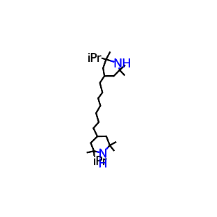 CC(C)C1(C)CC(CCCCCCCC2CC(C)(C)NC(C)(C(C)C)C2)CC(C)(C)N1